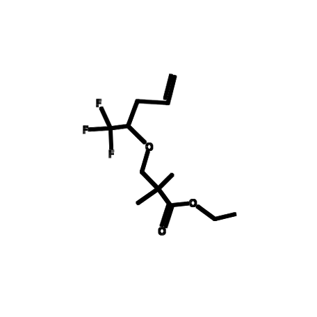 C=CCC(OCC(C)(C)C(=O)OCC)C(F)(F)F